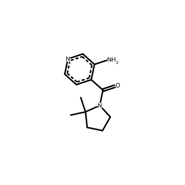 CC1(C)CCCN1C(=O)c1ccncc1N